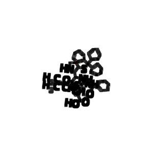 CSC(CCC(=O)O)(NC(=O)c1ccccc1)NC(C(=O)OC(C)(C)C)C1NCCC1SC(c1ccccc1)(c1ccccc1)c1ccccc1